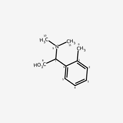 Cc1ccccc1C(C(=O)O)N(C)C